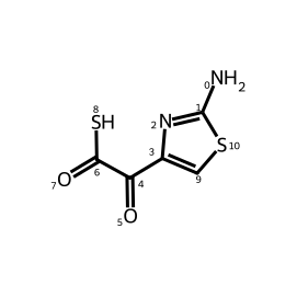 Nc1nc(C(=O)C(=O)S)cs1